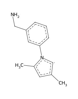 Cc1[c]n(-c2cccc(CN)c2)c(C)c1